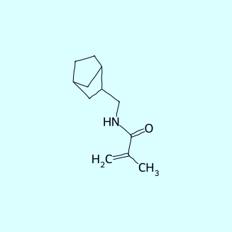 C=C(C)C(=O)NCC1CC2CCC1C2